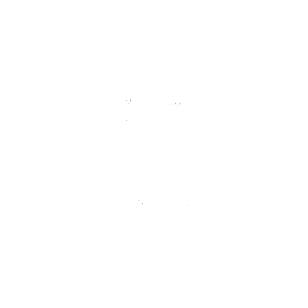 COC(=O)C(OC)c1ccc(F)c([N+](=O)[O-])c1